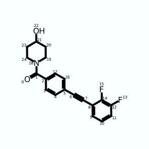 O=C(c1ccc(C#Cc2cccc(F)c2F)cc1)N1CCC(O)CC1